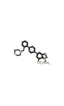 Cn1nnc2cc(-c3ccc(-c4ccccc4CN4CCOCC4)cc3)cc(C(=O)O)c21